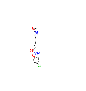 O=C=NCCCCCCC(=O)NOc1ccc(Cl)cc1